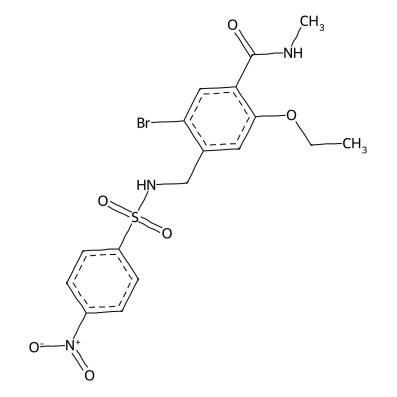 CCOc1cc(CNS(=O)(=O)c2ccc([N+](=O)[O-])cc2)c(Br)cc1C(=O)NC